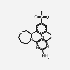 Cc1cc(N2CCCOC[C@H]2c2cc(S(C)(=O)=O)cc(C)c2Cl)nc(N)n1